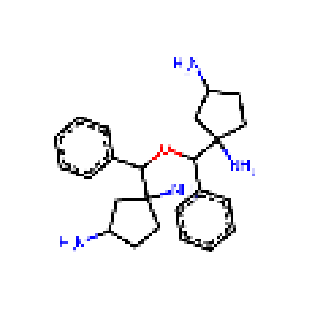 NC1CCC(N)(C(OC(c2ccccc2)C2(N)CCC(N)C2)c2ccccc2)C1